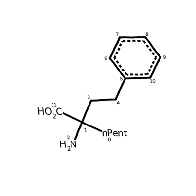 CCCCCC(N)(CCc1ccccc1)C(=O)O